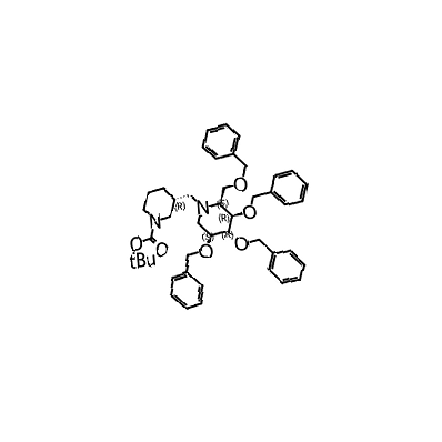 CC(C)(C)OC(=O)N1CCC[C@H](CN2C[C@H](OCc3ccccc3)[C@@H](OCc3ccccc3)[C@H](OCc3ccccc3)[C@@H]2COCc2ccccc2)C1